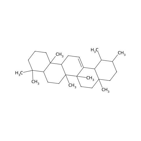 CC1CCC2(C)CCC3(C)C(=CCC4C5(C)CCCC(C)(C)C5CCC43C)C2C1C